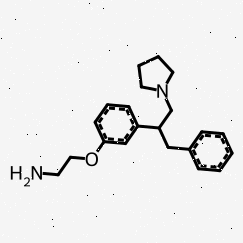 NCCOc1cccc(C(Cc2ccccc2)CN2CCCC2)c1